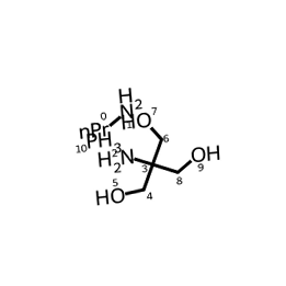 CCCN.NC(CO)(CO)CO.P